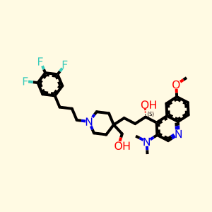 COc1ccc2ncc(N(C)C)c([C@@H](O)CCC3(CO)CCN(CCCc4cc(F)c(F)c(F)c4)CC3)c2c1